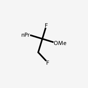 CCCC(F)(CF)OC